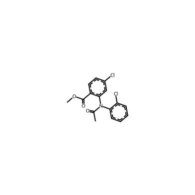 COC(=O)c1ccc(Cl)cc1N(C(C)=O)c1ccccc1Cl